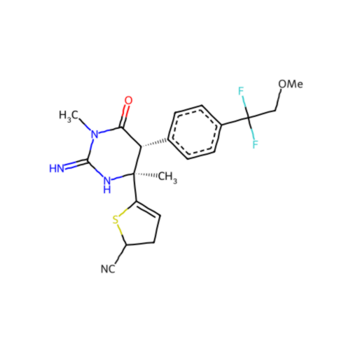 COCC(F)(F)c1ccc([C@H]2C(=O)N(C)C(=N)N[C@]2(C)C2=CCC(C#N)S2)cc1